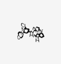 CN(c1ccnc(Nc2cc(Cl)nc(N3CCOCC3)c2)n1)c1cccc2[nH]ncc12